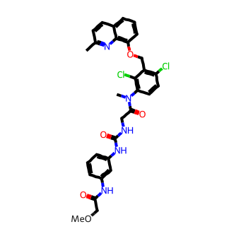 COCC(=O)Nc1cccc(NC(=O)NCC(=O)N(C)c2ccc(Cl)c(COc3cccc4ccc(C)nc34)c2Cl)c1